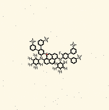 [2H]c1c([2H])c([2H])c(N(c2cc(-c3cccc([Si](C)(C)C)c3)c(-c3cccc([Si](C)(C)C)c3)cc2F)c2ccc3ccc4c(N(c5cc(-c6cccc([Si](C)(C)C)c6)c(-c6cccc([Si](C)(C)C)c6)cc5F)c5c([2H])c([2H])c([2H])c([2H])c5[2H])ccc5ccc2c3c54)c([2H])c1[2H]